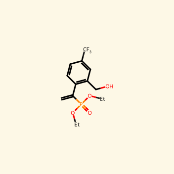 C=C(c1ccc(C(F)(F)F)cc1CO)P(=O)(OCC)OCC